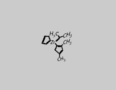 CC1=CC(C)=[C]([Zr]([C]2=CC=CC2)=[C](C)C)C1